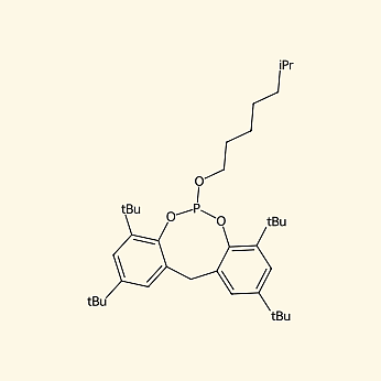 CC(C)CCCCCOP1Oc2c(cc(C(C)(C)C)cc2C(C)(C)C)Cc2cc(C(C)(C)C)cc(C(C)(C)C)c2O1